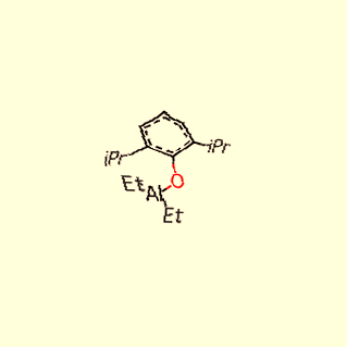 C[CH2][Al]([CH2]C)[O]c1c(C(C)C)cccc1C(C)C